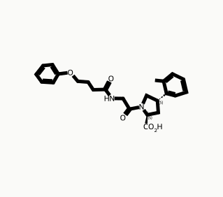 Cc1ccccc1[C@@H]1C[C@@H](C(=O)O)N(C(=O)CNC(=O)CCCOc2ccccc2)C1